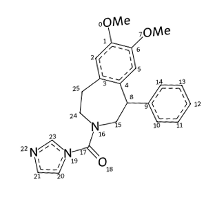 COc1cc2c(cc1OC)C(c1ccccc1)CN(C(=O)n1ccnc1)CC2